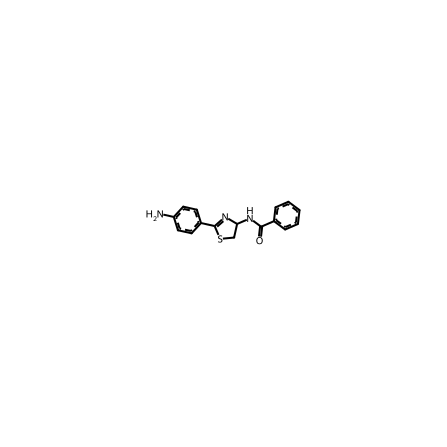 Nc1ccc(C2=NC(NC(=O)c3ccccc3)CS2)cc1